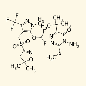 CSc1nnc(C(C)(C)C)c(=O)n1N.Cn1nc(C(F)(F)F)c(CS(=O)(=O)C2=NOC(C)(C)C2)c1OC(F)F